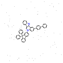 c1ccc(-c2ccc(-c3ccc4c(c3)c3nc5ccccc5c-3cn4-c3ccc4c(c3)C(c3ccccc3)(c3ccccc3)c3ccccc3-4)cc2)cc1